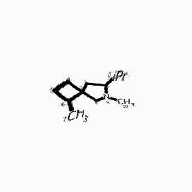 CC(C)C1CC2(CCC2C)CN1C